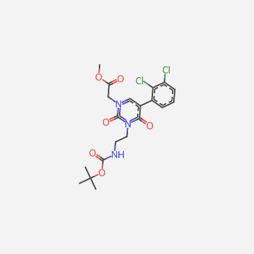 COC(=O)Cn1cc(-c2cccc(Cl)c2Cl)c(=O)n(CCNC(=O)OC(C)(C)C)c1=O